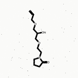 C=CCOCC(O)COCCN1CCCC1=O